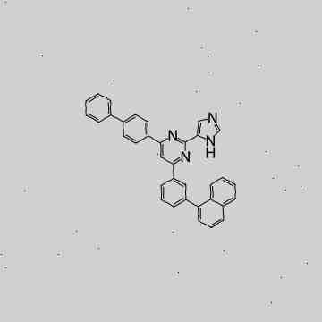 c1ccc(-c2ccc(-c3cc(-c4cccc(-c5cccc6ccccc56)c4)nc(-c4cnc[nH]4)n3)cc2)cc1